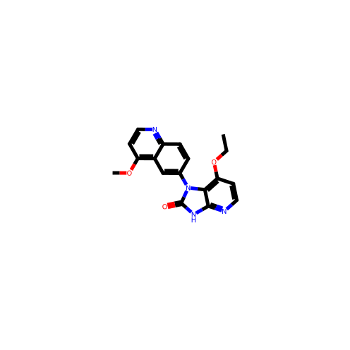 CCOc1ccnc2[nH]c(=O)n(-c3ccc4nccc(OC)c4c3)c12